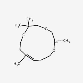 C/C1=C/CCO[C@@H](C)CCCC(C)(C)CCC1